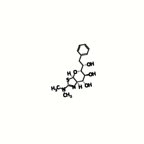 CN(C)C1=N[C@@H]2[C@@H](O)[C@H](O)[C@@H]([C@@H](O)Cc3ccccc3)O[C@@H]2S1